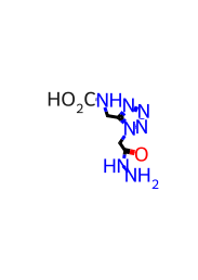 NNC(=O)Cn1nnnc1CNC(=O)O